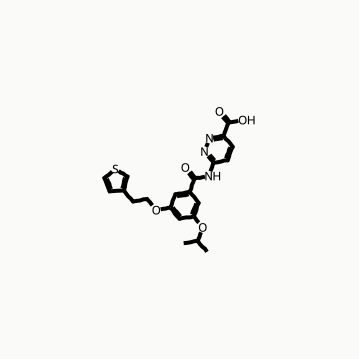 CC(C)Oc1cc(OCCc2ccsc2)cc(C(=O)Nc2ccc(C(=O)O)nn2)c1